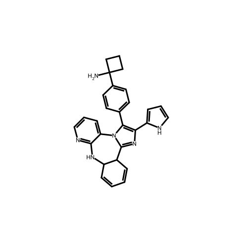 NC1(c2ccc(-c3c(-c4ccc[nH]4)nc4n3-c3cccnc3NC3C=CC=CC43)cc2)CCC1